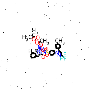 Cc1ccc(-c2cc(C(F)(F)F)nn2-c2ccc(S(=O)(=O)NC(=O)[C@H](Cc3ccccc3)N(C)[N+]([O-])=NOC(C)OC(=O)OC(C)C)cc2)cc1